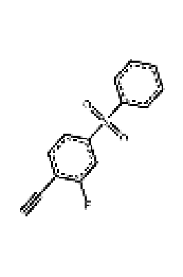 C#Cc1ccc(S(=O)(=O)c2ccccc2)cc1F